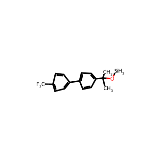 CC(C)(O[SiH3])c1ccc(-c2ccc(C(F)(F)F)cc2)cc1